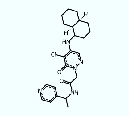 CC(NC(=O)Cn1ncc(NC2CCC[C@@H]3CCCC[C@H]23)c(Cl)c1=O)c1ccncc1